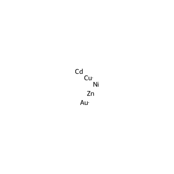 [Au].[Cd].[Cu].[Ni].[Zn]